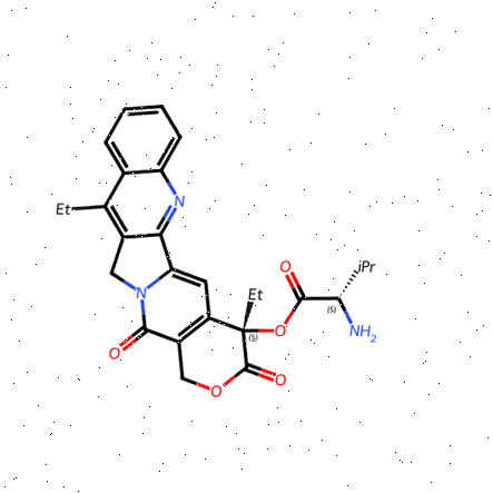 CCc1c2c(nc3ccccc13)-c1cc3c(c(=O)n1C2)COC(=O)[C@@]3(CC)OC(=O)[C@@H](N)C(C)C